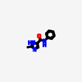 Cc1ncc(C(=O)Nc2ccccc2)[nH]1